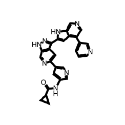 O=C(Nc1cncc(-c2cc3c(-c4cc5c(-c6cccnc6)cncc5[nH]4)n[nH]c3cn2)c1)C1CC1